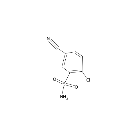 N#Cc1ccc(Cl)c(S(N)(=O)=O)c1